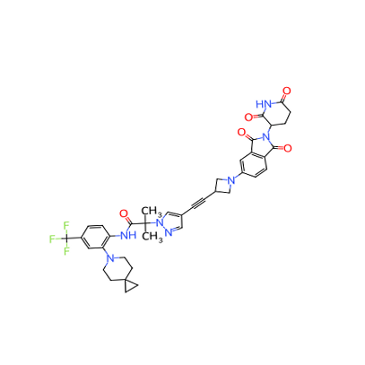 CC(C)(C(=O)Nc1ccc(C(F)(F)F)cc1N1CCC2(CC1)CC2)n1cc(C#CC2CN(c3ccc4c(c3)C(=O)N(C3CCC(=O)NC3=O)C4=O)C2)cn1